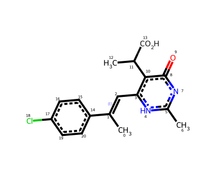 C/C(=C\c1[nH]c(C)nc(=O)c1C(C)C(=O)O)c1ccc(Cl)cc1